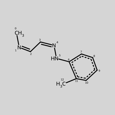 C/N=C\C=N/Nc1ccccc1C